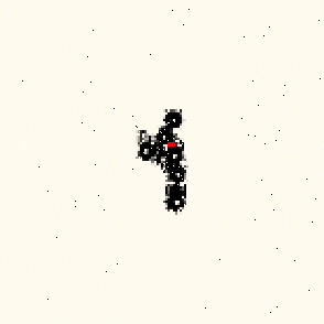 C=Cc1nc(-c2ccc3c(c2)oc2c(-c4n(-c5c(C(C)C)cc(-c6ccccc6)cc5C(C)C)c5ccccc5[n+]4C)c(C)ccc23)oc1/C=C\C